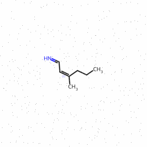 CCC/C(C)=C\C=N